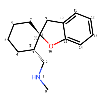 CNC[C@@H]1CCCC[C@]12Cc1ccccc1O2